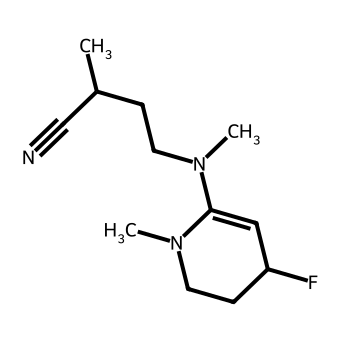 CC(C#N)CCN(C)C1=CC(F)CCN1C